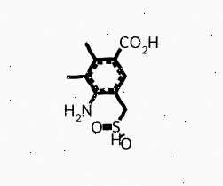 Cc1c(C(=O)O)cc(C[SH](=O)=O)c(N)c1C